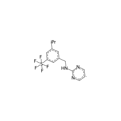 CC(C)c1cc(CNc2nc[c]cn2)cc(S(F)(F)(F)(F)F)c1